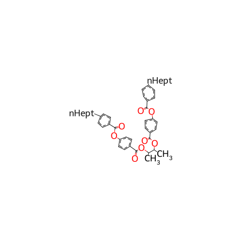 CCCCCCCc1ccc(C(=O)Oc2ccc(C(=O)OC(C)C(C)OC(=O)c3ccc(OC(=O)c4ccc(CCCCCCC)cc4)cc3)cc2)cc1